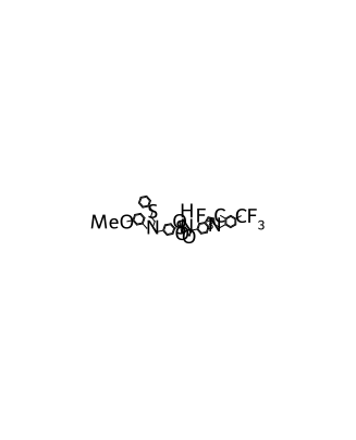 COc1cccc(CN(CCSc2ccccc2)Cc2ccc(S(=O)(=O)NC(=O)c3ccc4c(ccn4Cc4ccc(C(F)(F)F)cc4C(F)(F)F)c3)cc2)c1